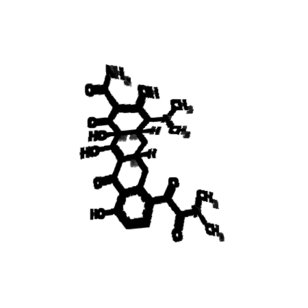 CN(C)C(=O)C(=O)c1ccc(O)c2c1C[C@H]1C[C@H]3C(N(C)C)C(O)=C(C(N)=O)C(=O)[C@@]3(O)C(O)=C1C2=O